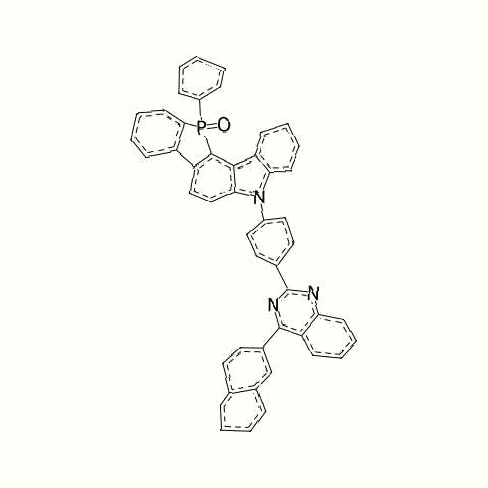 O=P1(c2ccccc2)c2ccccc2-c2ccc3c(c21)c1ccccc1n3-c1ccc(-c2nc(-c3ccc4ccccc4c3)c3ccccc3n2)cc1